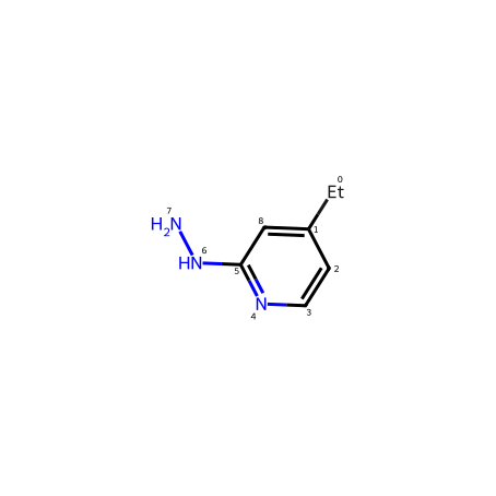 CCc1ccnc(NN)c1